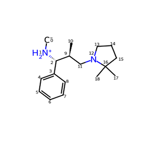 [CH2-][NH2+][C@@H](c1ccccc1)[C@@H](C)CN1CCCC1(C)C